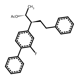 CC(=O)O[C@H](C)[C@@H](CCc1ccccc1)c1ccc(-c2ccccc2)c(F)c1